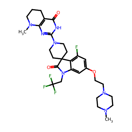 CN1CCN(CCOc2cc(F)c3c(c2)N(CC(F)(F)F)C(=O)C32CCN(c3nc4c(c(=O)[nH]3)CCCN4C)CC2)CC1